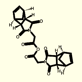 O=C(CN1C(=O)[C@@H]2[C@H](C1=O)[C@H]1C=C[C@@H]2C1)OC(=O)CN1C(=O)[C@@H]2[C@H](C1=O)[C@H]1C=C[C@@H]2C1